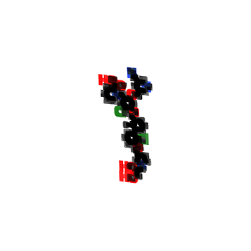 Cc1c(COc2cc(OCc3cncc(C#N)c3)c(CN3CCCC[C@H]3C(=O)O)cc2Cl)cccc1-c1cccc(OC[C@H]2CCN(CC(O)CO)C2)c1Cl